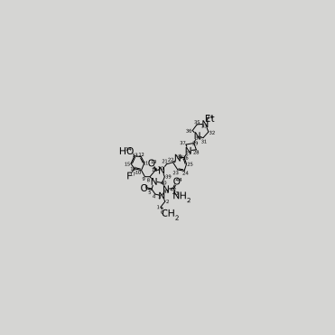 C=CCN1CC(=O)N2C(Cc3ccc(O)cc3F)C(=O)N(Cc3cccc(N4CC(N5CCN(CC)CC5)C4)n3)CC2N1C(N)=O